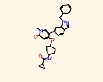 Cn1cc(-c2ccc3cnn(Cc4ccccc4)c3c2)c(OC2CCC(NC(=O)C3CC3)CC2)cc1=O